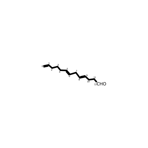 C=CCCC/C=C/C/C=C/CCC=O